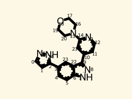 c1cc(-c2ccc3[nH]nc(-c4ccnc(N5CCOCC5)c4)c3c2)[nH]n1